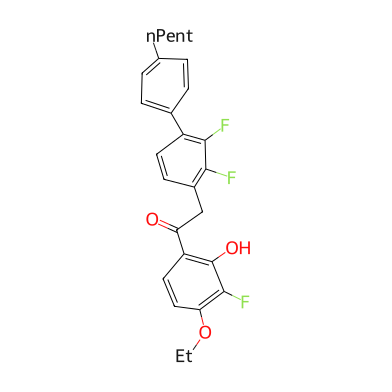 CCCCCc1ccc(-c2ccc(CC(=O)c3ccc(OCC)c(F)c3O)c(F)c2F)cc1